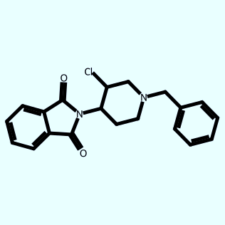 O=C1c2ccccc2C(=O)N1C1CCN(Cc2ccccc2)CC1Cl